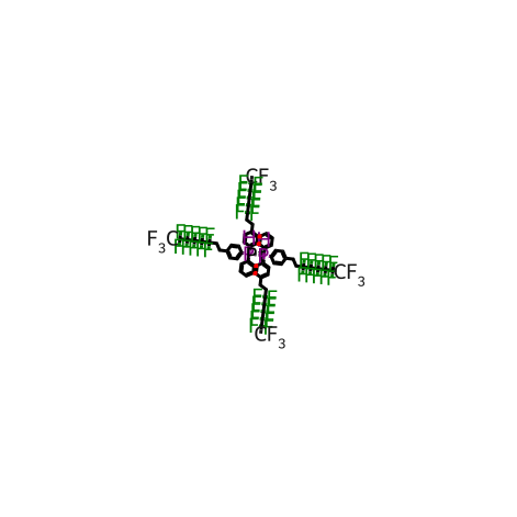 FC(F)(F)C(F)(F)C(F)(F)C(F)(F)C(F)(F)C(F)(F)CCc1ccc([PH]([Pt][PH](c2ccccc2)(c2ccc(CCC(F)(F)C(F)(F)C(F)(F)C(F)(F)C(F)(F)C(F)(F)F)cc2)c2ccc(CCC(F)(F)C(F)(F)C(F)(F)C(F)(F)C(F)(F)C(F)(F)F)cc2)(c2ccccc2)c2ccc(CCC(F)(F)C(F)(F)C(F)(F)C(F)(F)C(F)(F)C(F)(F)F)cc2)cc1